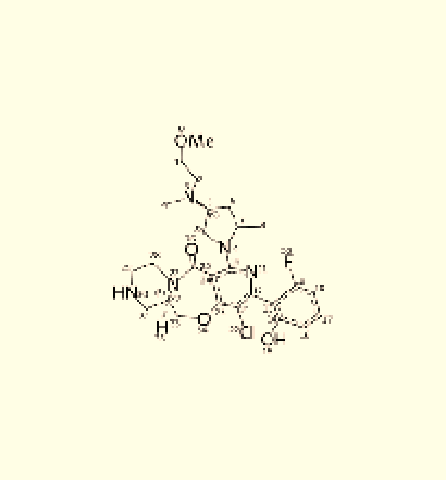 COCCN(C)[C@H]1CC(C)N(c2nc(-c3c(O)cccc3F)c(Cl)c3c2C(=O)N2CCNC[C@@H]2CO3)C1